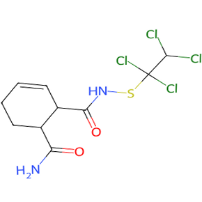 NC(=O)C1CCC=CC1C(=O)NSC(Cl)(Cl)C(Cl)Cl